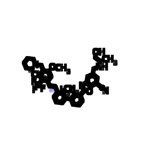 COc1cc(/C=C/c2cccc(-c3cccc(-c4nc5cc(CN[C@@H](C)CO)cc(C#N)c5o4)c3C)c2C)c(C(F)(F)F)cc1CN1CCCC[C@H]1C